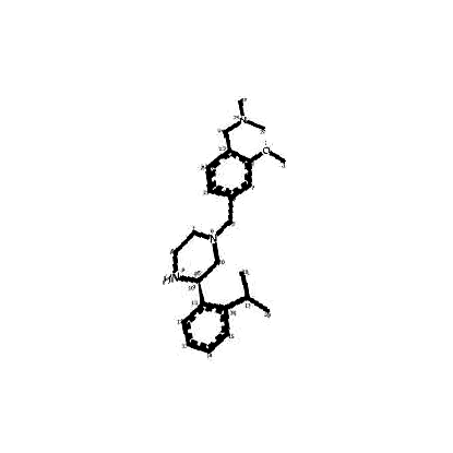 COc1cc(CN2CCN[C@H](c3ccccc3C(C)C)C2)ccc1CN(C)C